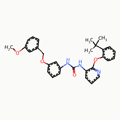 COc1cccc(COc2cccc(NC(=O)Nc3cccnc3Oc3ccccc3C(C)(C)C)c2)c1